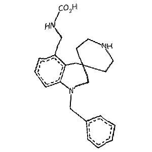 O=C(O)NCc1cccc2c1C1(CCNCC1)CN2Cc1ccccc1